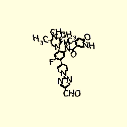 C[C@@H]1CN(c2cc(F)c(C3=CCN(c4ncc(C=O)cn4)CC3)cc2NC(=O)c2c[nH]c(=O)cc2C(F)(F)F)C[C@H](C)N1C